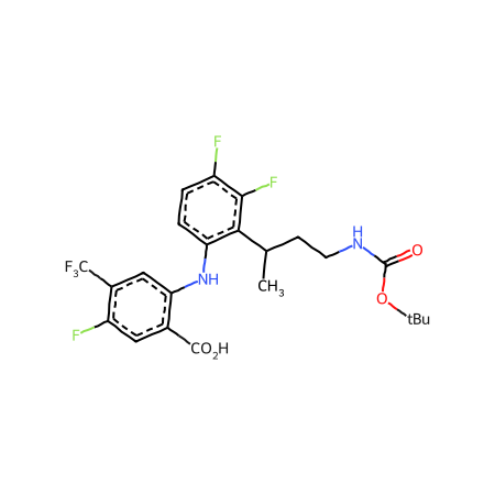 CC(CCNC(=O)OC(C)(C)C)c1c(Nc2cc(C(F)(F)F)c(F)cc2C(=O)O)ccc(F)c1F